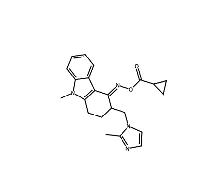 Cc1nccn1CC1CCc2c(c3ccccc3n2C)C1=NOC(=O)C1CC1